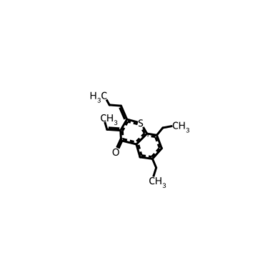 C/C=c1/c(=O)c2cc(CC)cc(CC)c2s/c1=C/CC